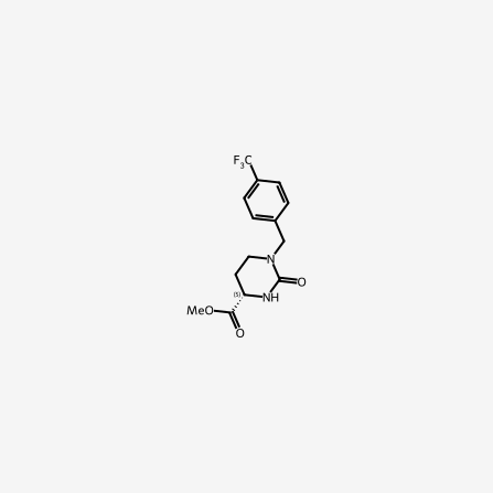 COC(=O)[C@@H]1CCN(Cc2ccc(C(F)(F)F)cc2)C(=O)N1